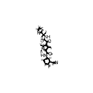 Cc1c(C(=O)C(=O)NC(C)(C)c2nccs2)c(C)n(C)c1C(=O)Nc1ccc(F)c(C#N)c1